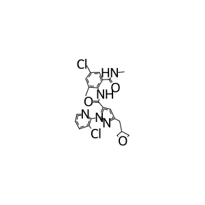 CNC(=O)c1cc(Cl)cc(C)c1NC(=O)c1cc(CC2COC2)nn1-c1ncccc1Cl